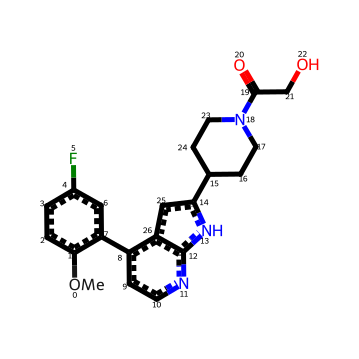 COc1ccc(F)cc1-c1ccnc2[nH]c(C3CCN(C(=O)CO)CC3)cc12